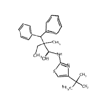 CCC(C)(C(O)Nc1nc(C(C)(C)C)cs1)C(c1ccccc1)c1ccccc1